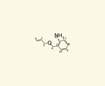 C=CCOCc1ccccc1.N